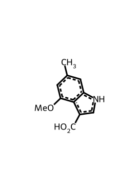 COc1cc(C)cc2[nH]cc(C(=O)O)c12